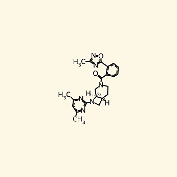 Cc1cc(C)nc(N2C[C@@H]3CCN(C(=O)c4ccccc4-c4nc(C)no4)C[C@@H]32)n1